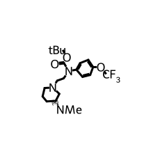 CN[C@@H]1CCCN(CCN(C(=O)OC(C)(C)C)c2ccc(OC(F)(F)F)cc2)C1